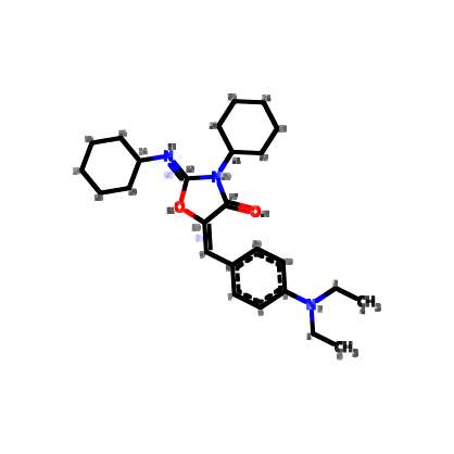 CCN(CC)c1ccc(/C=C2/O/C(=N\C3CCCCC3)N(C3CCCCC3)C2=O)cc1